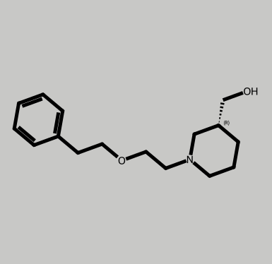 OC[C@@H]1CCCN(CCOCCc2ccccc2)C1